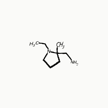 CCN1CCCC1(C)CN